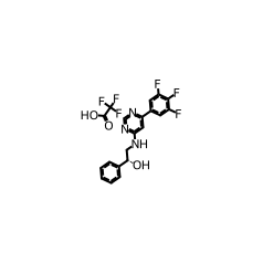 O=C(O)C(F)(F)F.O[C@@H](CNc1cc(-c2cc(F)c(F)c(F)c2)ncn1)c1ccccc1